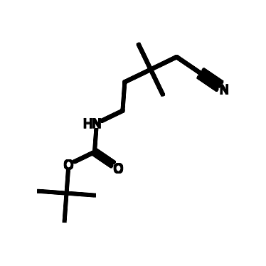 CC(C)(CC#N)CCNC(=O)OC(C)(C)C